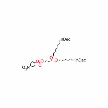 CCCCCCCCCCCCCCCCCCOC[C@H](CCCOC(=O)Oc1ccc([N+](=O)[O-])cc1)OCCCCCCCCCCCCCCCCCC